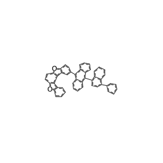 c1ccc(-c2ccc(-c3c4ccccc4c(-c4ccc5oc6ccc7oc8ccccc8c7c6c5c4)c4ccccc34)c3ccccc23)cc1